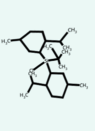 CC1CCC(C(C)C)C([Si](Cl)(C2CC(C)CCC2C(C)C)C(C)(C)C)C1